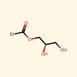 CCC(=O)OC[C@H](O)CO